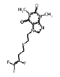 Cn1c(=O)c2c(ncn2CCSCCC(F)=C(F)F)n(C)c1=O